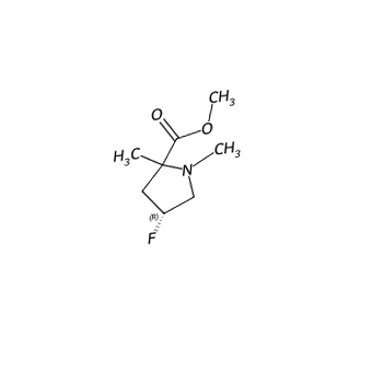 COC(=O)C1(C)C[C@@H](F)CN1C